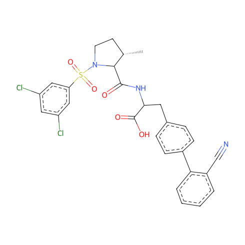 C[C@H]1CCN(S(=O)(=O)c2cc(Cl)cc(Cl)c2)C1C(=O)NC(Cc1ccc(-c2ccccc2C#N)cc1)C(=O)O